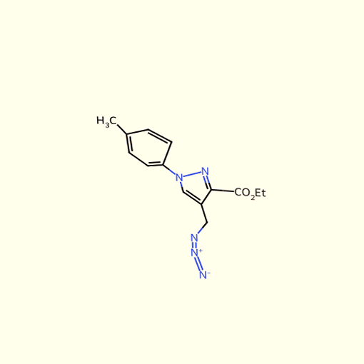 CCOC(=O)c1nn(-c2ccc(C)cc2)cc1CN=[N+]=[N-]